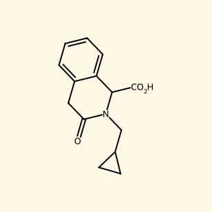 O=C(O)C1c2ccccc2CC(=O)N1CC1CC1